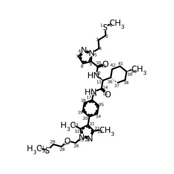 CSCCCn1nccc1C(=O)N[C@H](C(=O)Nc1ccc(-c2c(C)nn(COCCSC)c2C)cc1)[C@H]1CC[C@H](C)CC1